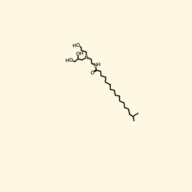 CC(C)CCCCCCCCCCCCCCC(=O)NCCN(CCCO)CC(O)CO